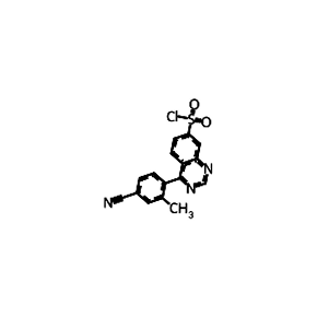 Cc1cc(C#N)ccc1-c1ncnc2cc(S(=O)(=O)Cl)ccc12